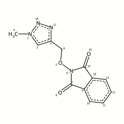 Cn1cc(CON2C(=O)c3ccccc3C2=O)nn1